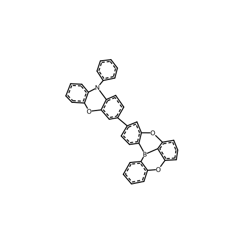 c1ccc(N2c3ccccc3Oc3cc(-c4ccc5c(c4)Oc4cccc6c4B5c4ccccc4O6)ccc32)cc1